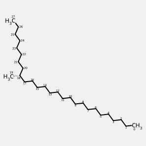 CCCCCCCCCCCCCCCCCC[C@H](C)CCCCCCCC